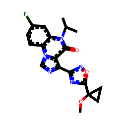 COC1(c2nc(-c3ncn4c3c(=O)n(C(C)C)c3cc(F)ccc34)no2)CC1